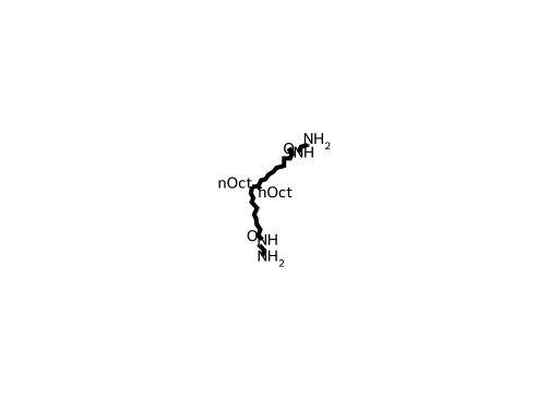 CCCCCCCCC(CCCCCCCCC(=O)NCCN)C(CCCCCCCC)CCCCCCCCC(=O)NCCN